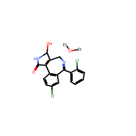 CCOCC.O=C1NC(O)C2=C1c1ccc(Cl)cc1C(c1ccccc1Cl)=NC2